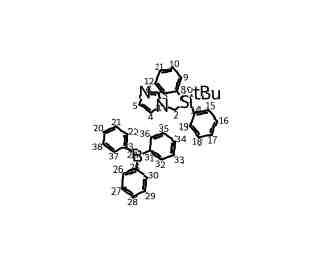 CC(C)(C)[Si](Cn1ccnc1)(c1ccccc1)c1ccccc1.c1ccc(B(c2ccccc2)c2ccccc2)cc1